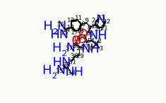 CC(C)(C)[C@H](NC(=O)[C@@H](Cc1ccc(C(=N)N)cc1)c1cccnc1)C(=O)N[C@@H](CCCNC(=N)N)C(N)=O